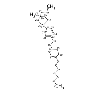 CCCCCCCC1CCC(CCc2ccc(C3CCC(C)(CCC)CC3)cc2)CC1